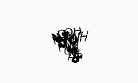 COc1cccc(F)c1-c1nccc(C(=O)Nc2cc(I)c3nn(C)cc3c2N(C(=O)O)[C@H]2CCCNC2)n1